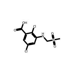 CS(=O)(=O)CNc1cc(Cl)cc(C(=O)O)c1Cl